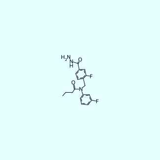 CCCC(=O)N(Cc1ccc(C(=O)NN)cc1F)c1cccc(F)c1